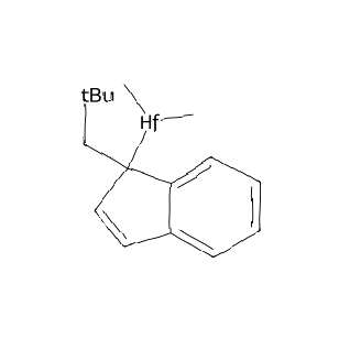 [CH3][Hf]([CH3])[C]1(CC(C)(C)C)C=Cc2ccccc21